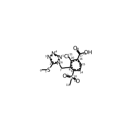 CSc1nnnn1Cc1c(S(C)(=O)=O)ccc(C(=O)O)c1Cl